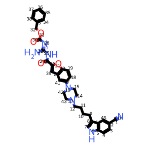 N#Cc1ccc2[nH]cc(CCCCN3CCN(c4ccc5oc(C(=O)N/C(N)=N/C(=O)OCc6ccccc6)cc5c4)CC3)c2c1